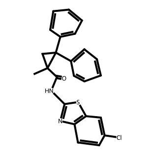 CC1(C(=O)Nc2nc3ccc(Cl)cc3s2)CC1(c1ccccc1)c1ccccc1